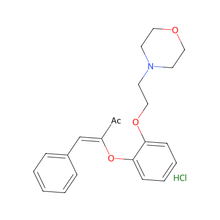 CC(=O)C(=Cc1ccccc1)Oc1ccccc1OCCN1CCOCC1.Cl